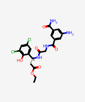 CCOC(=O)C[C@@H](NC(=O)CNC(=O)c1cc(N)cc(C(N)=O)c1)c1cc(Cl)cc(Cl)c1O